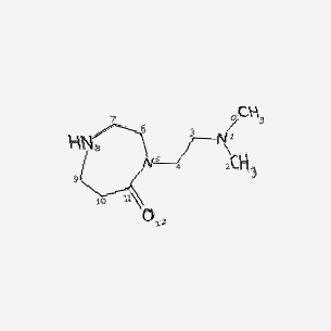 CN(C)CCN1CCNCCC1=O